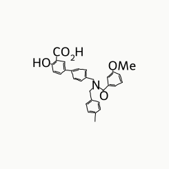 COc1cccc(C(=O)N(Cc2ccc(C)cc2)Cc2ccc(-c3ccc(O)c(C(=O)O)c3)cc2)c1